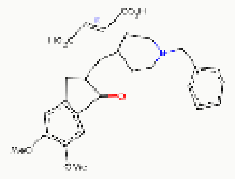 COc1cc2c(cc1OC)C(=O)C(CC1CCN(Cc3ccccc3)CC1)C2.O=C(O)/C=C/C(=O)O